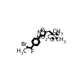 CC(Br)C(F)c1ccc(C2=NO[C@@H](CC(C)(C(=O)O)S(C)(=O)=O)C2)cc1